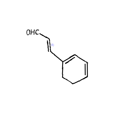 O=C/C=C/C1=CC=CCC1